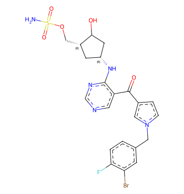 NS(=O)(=O)OC[C@H]1C[C@@H](Nc2ncncc2C(=O)c2ccn(Cc3ccc(F)c(Br)c3)c2)CC1O